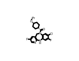 CC(C)O[C@H]1CC[C@H](C(=O)N2Cc3cc(F)cnc3Nc3cc(F)c(Cl)cc32)CC1